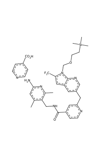 Cc1cc(N)nc(C)c1CNC(=O)c1ccnc(Cc2cnc3c(c2)cc(C(F)(F)F)n3COCC[Si](C)(C)C)c1.O=C(O)c1ccncc1